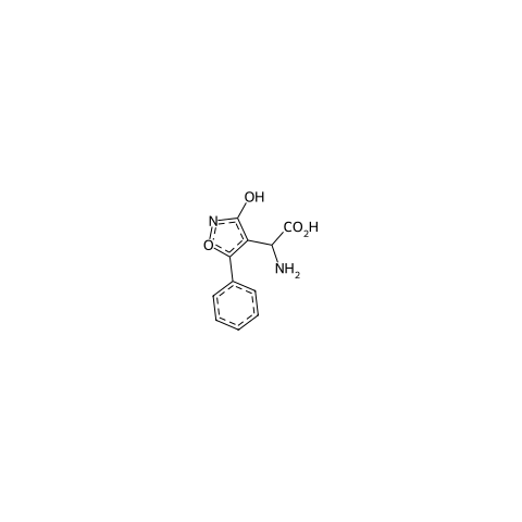 NC(C(=O)O)c1c(O)noc1-c1ccccc1